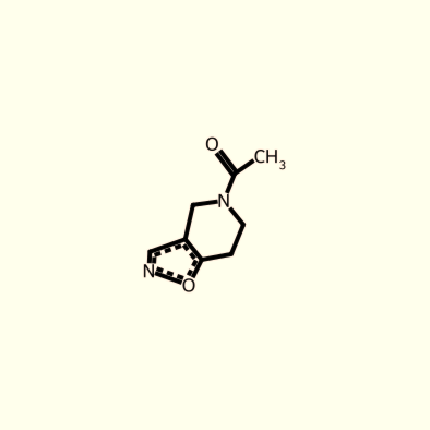 CC(=O)N1CCc2oncc2C1